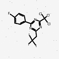 Fc1ccc(-c2nc(CC(I)(I)I)nc(C(Cl)(Cl)Cl)n2)cc1